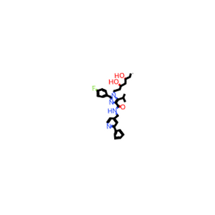 [CH2]CC(O)CC(O)CCn1c(-c2ccc(F)cc2)nc(C(=O)NCc2ccnc(-c3ccccc3)c2)c1C(C)C